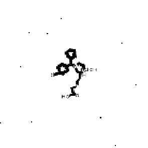 Cl.Cl.O=C(O)COCCC1CN(C(c2ccccc2)c2ccc(Cl)cc2)CCN1